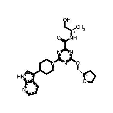 C[C@H](CO)NC(=O)c1nc(OC[C@@H]2CCCO2)nc(N2CCC(c3c[nH]c4ncccc34)CC2)n1